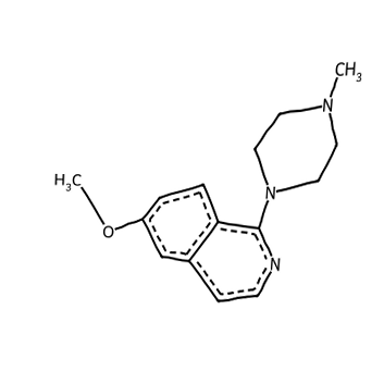 COc1ccc2c(N3CCN(C)CC3)nccc2c1